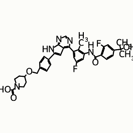 Cc1c(NC(=O)c2ccc(C(C)(C)O)cc2F)cc(F)cc1-c1ncnc2[nH]c(-c3ccc(COC4CCN(C(=O)O)CC4)cc3)cc12